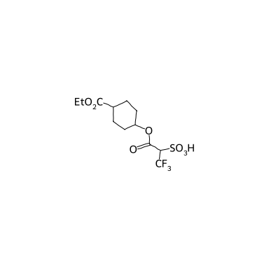 CCOC(=O)C1CCC(OC(=O)C(C(F)(F)F)S(=O)(=O)O)CC1